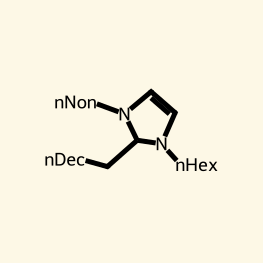 CCCCCCCCCCCC1N(CCCCCC)C=CN1CCCCCCCCC